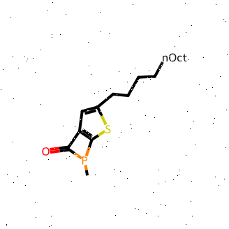 CCCCCCCCCCCCc1cc2c(s1)P(C)C2=O